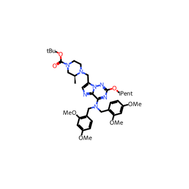 CCCC(C)Oc1nc(N(Cc2ccc(OC)cc2OC)Cc2ccc(OC)cc2OC)c2ncc(CN3CCN(C(=O)OC(C)(C)C)C[C@@H]3C)n2n1